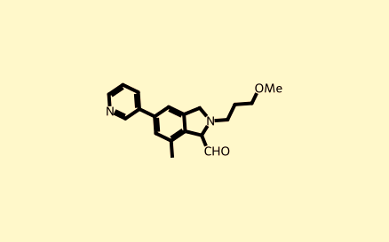 COCCCN1Cc2cc(-c3cccnc3)cc(C)c2C1C=O